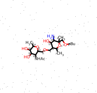 CCC(C)OCC1(C)OC(C)C(COCC2OC(C)C(O)C(O)C2NC(C)=O)C(O)C1N